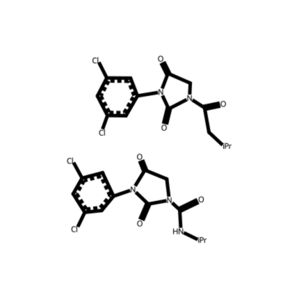 CC(C)CC(=O)N1CC(=O)N(c2cc(Cl)cc(Cl)c2)C1=O.CC(C)NC(=O)N1CC(=O)N(c2cc(Cl)cc(Cl)c2)C1=O